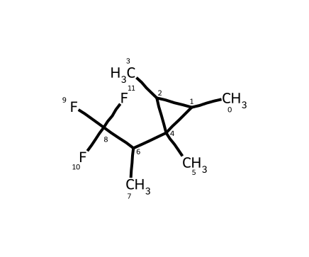 CC1C(C)C1(C)C(C)C(F)(F)F